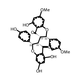 COc1ccc([C@H]2Oc3cc(OC)cc(O)c3C(=O)[C@H]2[C@@H]2C(=O)c3c(O)cc(O)cc3O[C@@H]2c2ccc(O)cc2)cc1